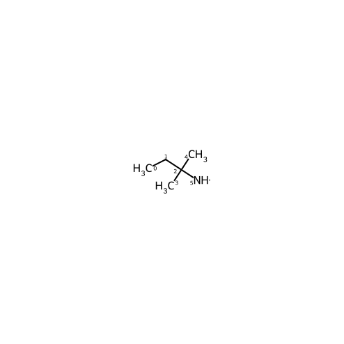 CCC(C)(C)[NH]